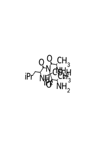 CC(C)CC(N)C(=O)N(C(=O)C(C)N)C(CC(C)C)(C(=O)O)C(=O)C(C)N